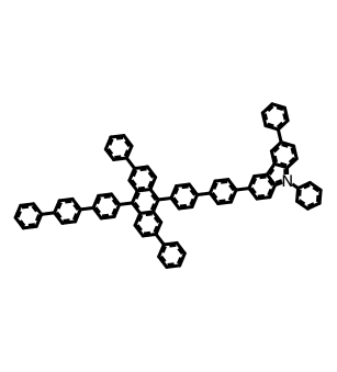 c1ccc(-c2ccc(-c3ccc(-c4c5ccc(-c6ccccc6)cc5c(-c5ccc(-c6ccc(-c7ccc8c(c7)c7cc(-c9ccccc9)ccc7n8-c7ccccc7)cc6)cc5)c5ccc(-c6ccccc6)cc45)cc3)cc2)cc1